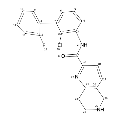 O=C(Nc1cccc(-c2ccccc2F)c1Cl)c1ccc2c(n1)CCNC2